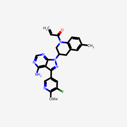 C=CC(=O)N1CC(n2nc(-c3cnc(OC)c(F)c3)c3c(N)ncnc32)Cc2cc(C)ccc21